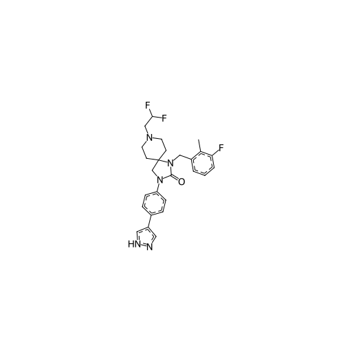 Cc1c(F)cccc1CN1C(=O)N(c2ccc(-c3cn[nH]c3)cc2)CC12CCN(CC(F)F)CC2